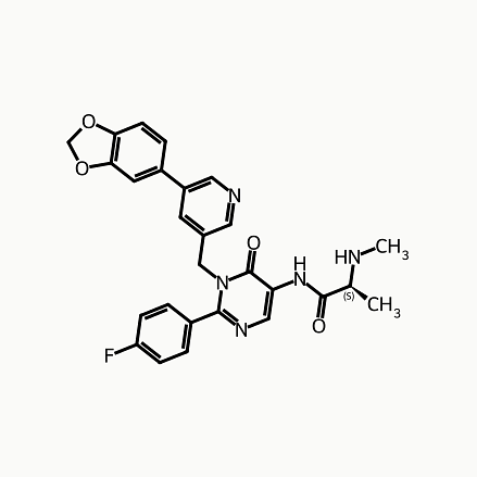 CN[C@@H](C)C(=O)Nc1cnc(-c2ccc(F)cc2)n(Cc2cncc(-c3ccc4c(c3)OCO4)c2)c1=O